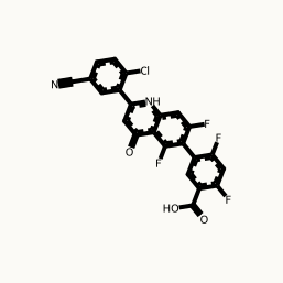 N#Cc1ccc(Cl)c(-c2cc(=O)c3c(F)c(-c4cc(C(=O)O)c(F)cc4F)c(F)cc3[nH]2)c1